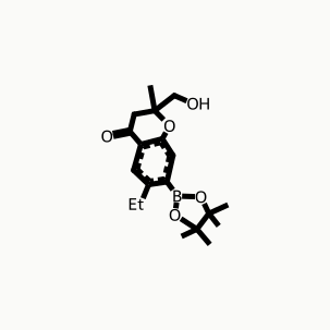 CCc1cc2c(cc1B1OC(C)(C)C(C)(C)O1)OC(C)(CO)CC2=O